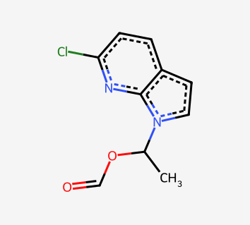 CC(OC=O)n1ccc2ccc(Cl)nc21